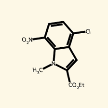 CCOC(=O)c1cc2c(Cl)ccc([N+](=O)[O-])c2n1C